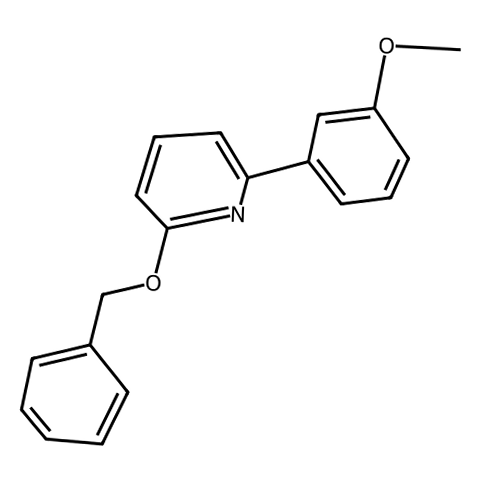 COc1cccc(-c2cccc(OCc3ccccc3)n2)c1